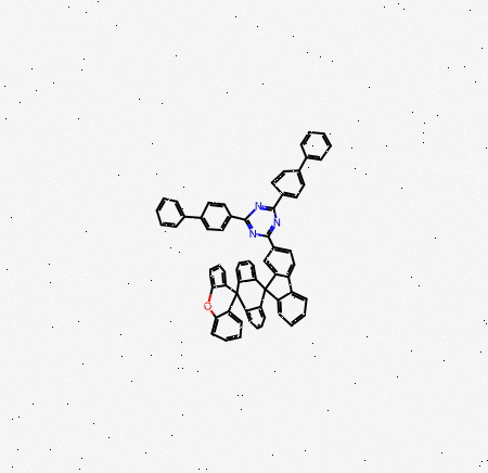 c1ccc(-c2ccc(-c3nc(-c4ccc(-c5ccccc5)cc4)nc(-c4ccc5c(c4)C4(c6ccccc6-5)c5ccccc5C5(c6ccccc6Oc6ccccc65)c5ccccc54)n3)cc2)cc1